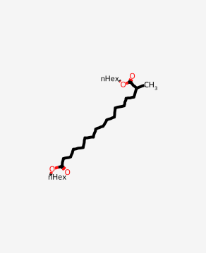 CCCCCCOC(=O)CCCCCCCCCCCCCCC(C)C(=O)OCCCCCC